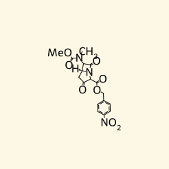 COC(=O)N(C)[C@H]1C(=O)N2C(C(=O)OCc3ccc([N+](=O)[O-])cc3)C(=O)C[C@H]12